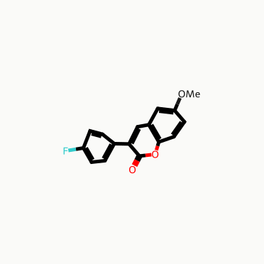 COc1ccc2oc(=O)c(-c3ccc(F)cc3)cc2c1